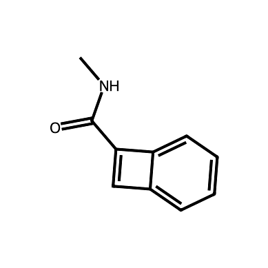 CNC(=O)C1=Cc2ccccc21